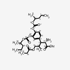 CCCC(C)OC(=O)Oc1ccc(C(C(C)COC(=O)CC)[C@H](N)C(=O)O)cc1OC(=O)OC(C)CCC